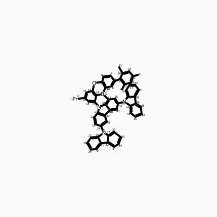 Cc1cc(C)c(-c2ccc3c(c2)B2c4c(cc(C(C)C)cc4-n4c5ccc(-n6c7ccccc7c7ccccc76)cc5c5cc(-n6c7ccccc7c7ccccc76)cc2c54)O3)c(C)c1